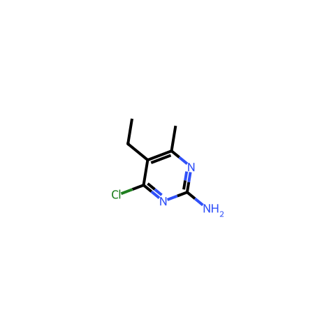 CCc1c(C)nc(N)nc1Cl